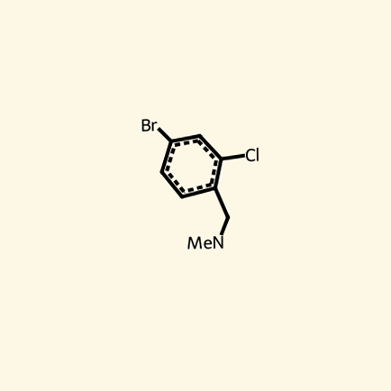 CNCc1ccc(Br)cc1Cl